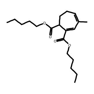 CCCCCOC(=O)C1=CC(C)=CCCC1C(=O)OCCCCC